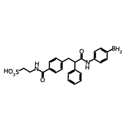 Bc1ccc(NC(=O)C(Cc2ccc(C(=O)NCCS(=O)(=O)O)cc2)c2ccccc2)cc1